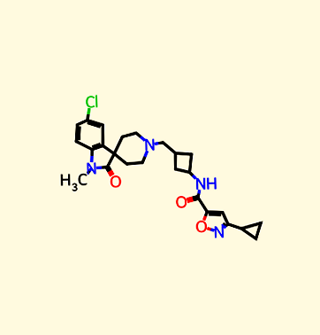 CN1C(=O)C2(CCN(CC3CC(NC(=O)c4cc(C5CC5)no4)C3)CC2)c2cc(Cl)ccc21